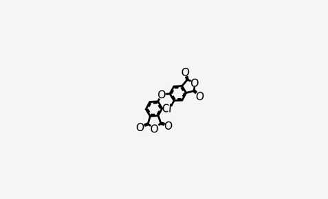 O=C1OC(=O)c2cc(Oc3cc4c(cc3Cl)C(=O)OC4=O)ccc21